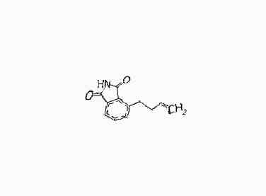 C=CCCc1cccc2c1C(=O)NC2=O